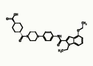 CCOc1cccc2c1cc(C(=O)Nc1ccc(N3CCN(C(=O)[C@H]4CC[C@H](C(=O)O)CC4)CC3)cc1)n2CC